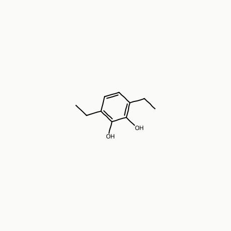 CCc1ccc(CC)c(O)c1O